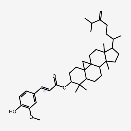 C=C(CCC(C)C1CCC2(C)C3CCC4C(C)(C)C(OC(=O)/C=C/c5ccc(O)c(OC)c5)CCC45CC35CCC12C)C(C)C